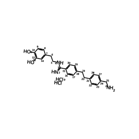 Cl.Cl.N=C(NCCc1ccc(O)c(O)c1)c1ccc(CCc2ccc(CN)cc2)cc1